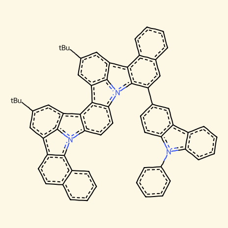 CC(C)(C)c1cc2c3c4c5cc(C(C)(C)C)cc6c7ccc8ccccc8c7n(c4ccc3n3c4c(-c7ccc8c(c7)c7ccccc7n8-c7ccccc7)cc7ccccc7c4c(c1)c23)c65